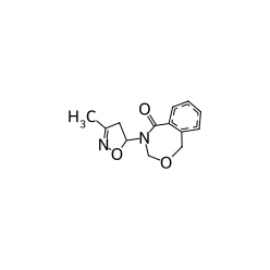 CC1=NOC(N2COCc3ccccc3C2=O)C1